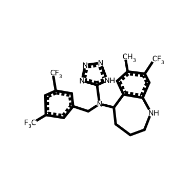 Cc1cc2c(cc1C(F)(F)F)NCCCC2N(Cc1cc(C(F)(F)F)cc(C(F)(F)F)c1)c1nnn[nH]1